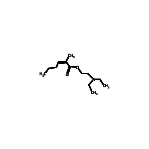 CCCC=C(C)C(=O)OCCN(CC)CC